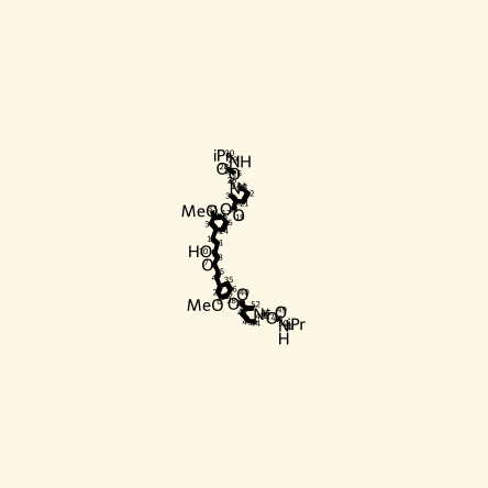 COc1cc(C=CC(=O)C=C(O)C=Cc2ccc(OC(=O)c3ccc[n+](COC(=O)NC(C)C)c3)c(OC)c2)ccc1OC(=O)c1ccc[n+](COC(=O)NC(C)C)c1